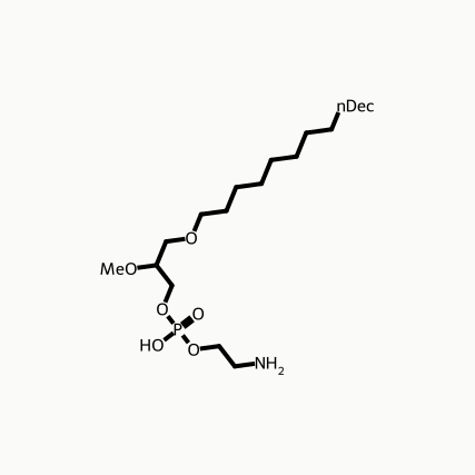 CCCCCCCCCCCCCCCCCCOCC(COP(=O)(O)OCCN)OC